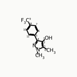 Cc1c(O)c(-c2ccc(C(F)(F)F)cc2)nn1C